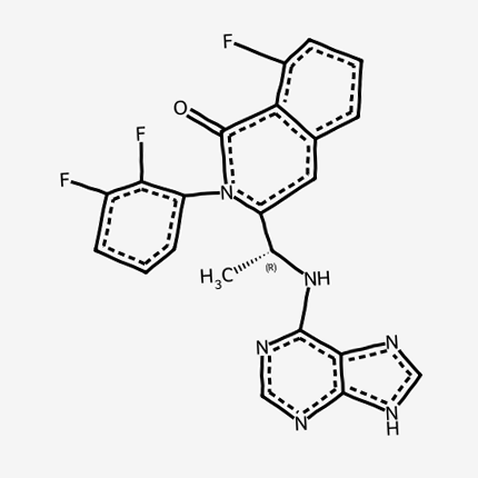 C[C@@H](Nc1ncnc2[nH]cnc12)c1cc2cccc(F)c2c(=O)n1-c1cccc(F)c1F